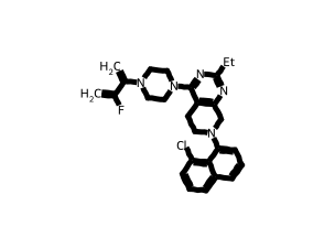 C=C(F)C(=C)N1CCN(c2nc(CC)nc3c2CCN(c2cccc4cccc(Cl)c24)C3)CC1